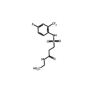 O=C(O)CNC(=O)CCS(=O)(=O)Nc1ccc(F)cc1C(F)(F)F